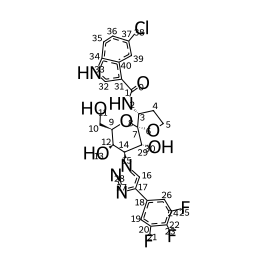 O=C(N[C@@H]1CCO[C@]12O[C@H](CO)[C@H](O)[C@H](n1cc(-c3cc(F)c(F)c(F)c3)nn1)[C@H]2O)c1c[nH]c2ccc(Cl)cc12